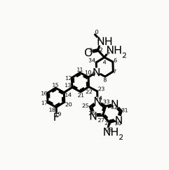 CNC(=O)C1(N)CCCN(c2ccc(-c3cccc(F)c3)cc2Cn2cnc3c(N)ncnc32)C1